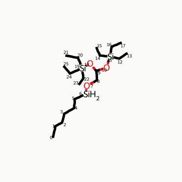 CCCCCC[SiH2]OCC(O[Si](CC)(CC)CC)O[Si](CC)(CC)CC